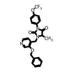 CC1C(=O)N(c2ccc(OC(F)(F)F)cc2)C(=O)N1Cc1ccncc1OCc1ccccc1